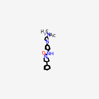 CC(=O)N(C)C1CCN(c2ccc(NC(=O)N3CCC(c4ccccc4)CC3)cc2)C1